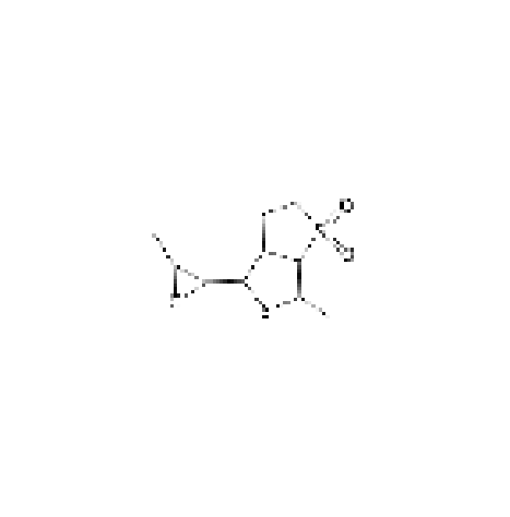 CC1OC1C1SC(C)C2C1CCS2(=O)=O